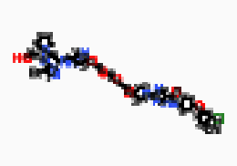 CCc1cnn2c(NCc3ccc(OCCOCCOCCOC4CCN(c5ncc(C(=O)NC6CCC(Oc7ccc(C#N)c(Cl)c7)CC6)cn5)CC4)nc3)cc(N3CCCC[C@H]3CCO)nc12